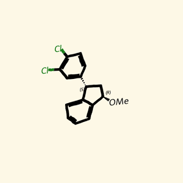 CO[C@@H]1C[C@@H](c2ccc(Cl)c(Cl)c2)c2ccccc21